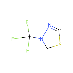 FC(F)(F)N1CS[C]=N1